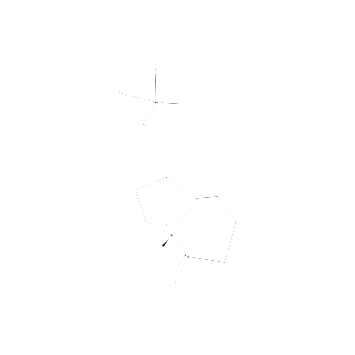 CC(C)(C)CO[C@H]1CC[C@H]2C(=O)CCC[C@]12C